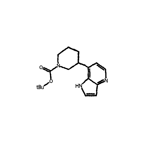 CC(C)(C)OC(=O)N1CCCC(c2ccnc3cc[nH]c23)C1